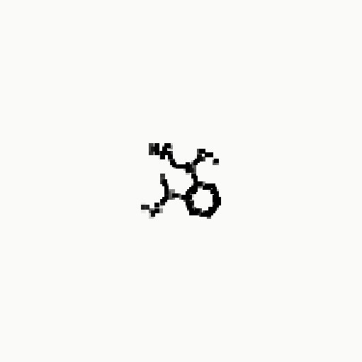 CCN(C)c1ccccc1N(C)I